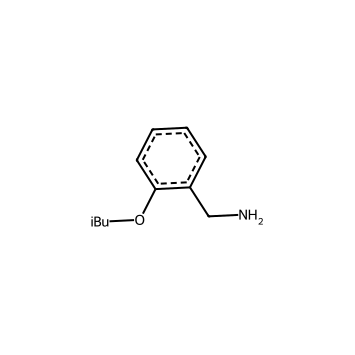 CCC(C)Oc1ccccc1CN